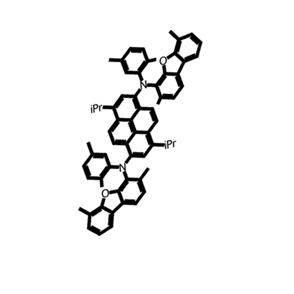 Cc1ccc(C)c(N(c2cc(C(C)C)c3ccc4c(N(c5cc(C)ccc5C)c5c(C)ccc6c5oc5c(C)cccc56)cc(C(C)C)c5ccc2c3c54)c2c(C)ccc3c2oc2c(C)cccc23)c1